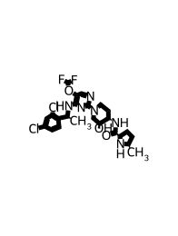 C[C@H]1CC[C@H](C(=O)N[C@H]2CCN(c3ncc(OC(F)F)c(N[C@H](C)c4ccc(Cl)cc4Cl)n3)C[C@@H]2O)N1